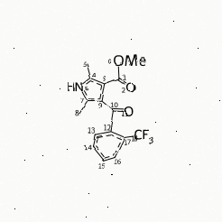 COC(=O)c1c(C)[nH]c(C)c1C(=O)c1ccccc1C(F)(F)F